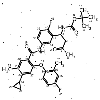 CC(=O)CC(NC(=O)OC(C)(C)C)c1cc(NC(=O)c2cc(C)c(C3CC3)cc2Oc2ccc(F)cc2C)ccc1F